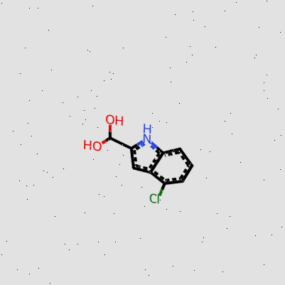 OC(O)c1cc2c(Cl)cccc2[nH]1